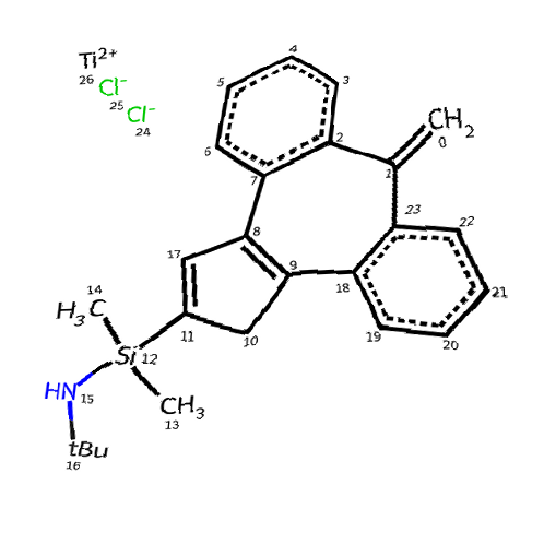 C=C1c2ccccc2C2=C(CC([Si](C)(C)NC(C)(C)C)=C2)c2ccccc21.[Cl-].[Cl-].[Ti+2]